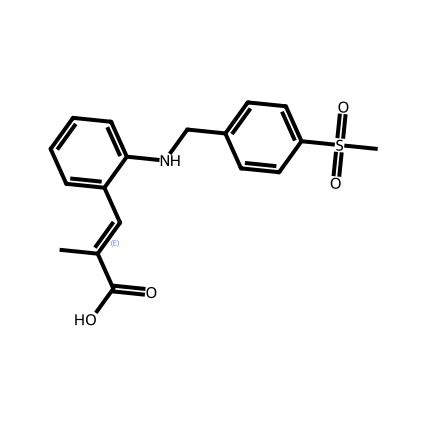 C/C(=C\c1ccccc1NCc1ccc(S(C)(=O)=O)cc1)C(=O)O